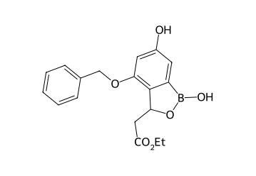 CCOC(=O)CC1OB(O)c2cc(O)cc(OCc3ccccc3)c21